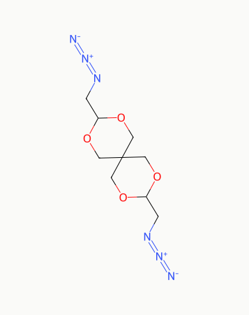 [N-]=[N+]=NCC1OCC2(CO1)COC(CN=[N+]=[N-])OC2